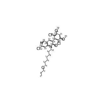 CCCOCCCCCCCn1c(=O)c(-c2c(Cl)c(OC)cc(OC)c2Cl)cc2cnc(Cl)cc21